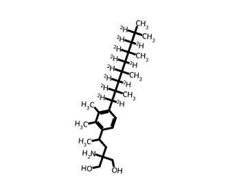 [2H]C(C)(C)C([2H])([2H])C([2H])(C)C([2H])([2H])C([2H])(C)C([2H])([2H])C([2H])(C)C([2H])([2H])c1ccc(C(C)CC(N)(CO)CO)c(C)c1C